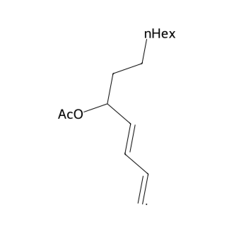 [CH]=CC=CC(CCCCCCCC)OC(C)=O